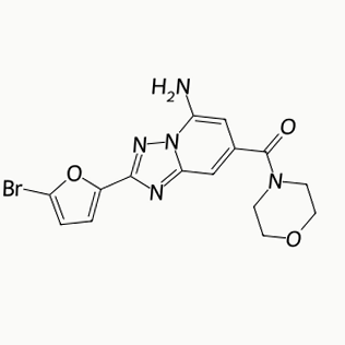 Nc1cc(C(=O)N2CCOCC2)cc2nc(-c3ccc(Br)o3)nn12